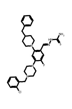 NC(=S)NN=Cc1cc(F)c(N2CCN(Cc3ccccc3Cl)CC2)cc1N1CCC(Cc2ccccc2)CC1